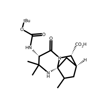 CC1C[C@H]2C[C@@]13NC(C)(C)[C@H](NC(=O)OC(C)(C)C)C(=O)N3[C@@H]2C(=O)O